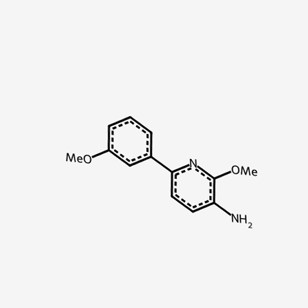 COc1cccc(-c2ccc(N)c(OC)n2)c1